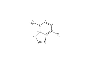 Cc1ccc(Cl)c2ncsc12